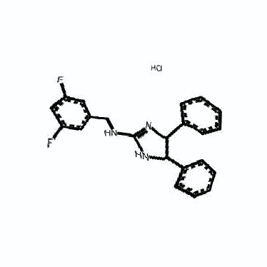 Cl.Fc1cc(F)cc(CNC2=NC(c3ccccc3)C(c3ccccc3)N2)c1